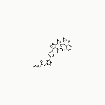 COC(=O)Cn1nnc(-c2ccc(-c3onc(C)c3NC(=O)OC(C)c3ccccc3F)cc2)n1